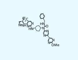 COc1ncc(-c2cnc(N(C(=O)NCc3ccccc3)C3CCC(Nc4ncc(C(F)(F)F)c(-c5[nH]ncc5Cl)n4)CC3)cn2)cn1